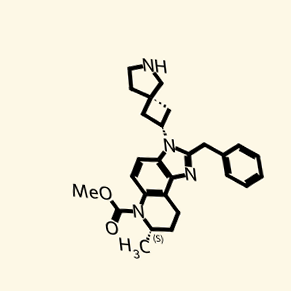 COC(=O)N1c2ccc3c(nc(Cc4ccccc4)n3[C@H]3C[C@@]4(CCNC4)C3)c2CC[C@@H]1C